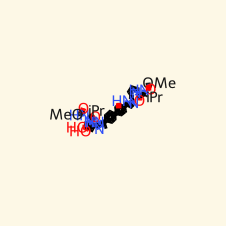 COC(=O)N[C@H](C(=O)N1CCCC1c1ncc(-c2ccc(-c3ccc(-c4cnc([C@@H]5CC(O)(O)CN5C(=O)[C@@H](NC(=O)OC)C(C)C)[nH]4)cc3)cc2)[nH]1)C(C)C